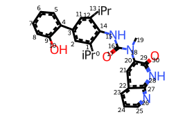 CC(C)c1cc(-c2ccccc2O)cc(C(C)C)c1NC(=O)N(C)c1cc2cccnc2[nH]c1=O